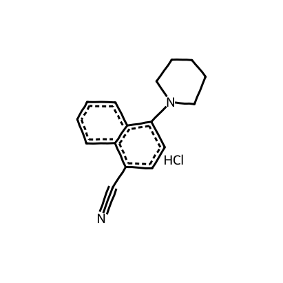 Cl.N#Cc1ccc(N2CCCCC2)c2ccccc12